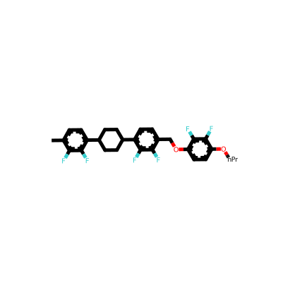 CCCOc1ccc(OCc2ccc(C3CCC(c4ccc(C)c(F)c4F)CC3)c(F)c2F)c(F)c1F